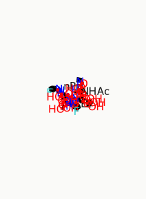 CCC[C@H](OC1C(NC(C)=O)[C@H](O[C@@H]2CC(C(=O)NCCNC(=O)C3CC(n4cc(-c5cccc(F)c5)nn4)C(O)[C@H](O[C@@H]4OC(CO)[C@H](O)C(n5cc(-c6cccc(F)c6)nn5)C4O)C3)CC(CC)C2O[C@@H]2OC(C)[C@@H](O)C(O)C2O)OC(CO)[C@@H]1O)C(=O)N1CCC1